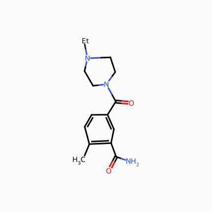 CCN1CCN(C(=O)c2ccc(C)c(C(N)=O)c2)CC1